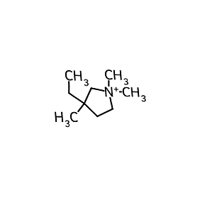 CCC1(C)CC[N+](C)(C)C1